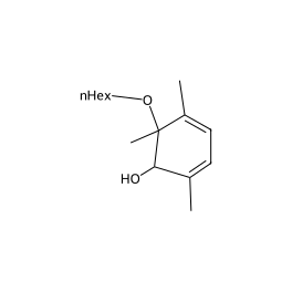 CCCCCCOC1(C)C(C)=CC=C(C)C1O